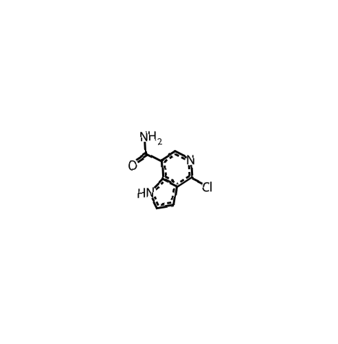 NC(=O)c1cnc(Cl)c2cc[nH]c12